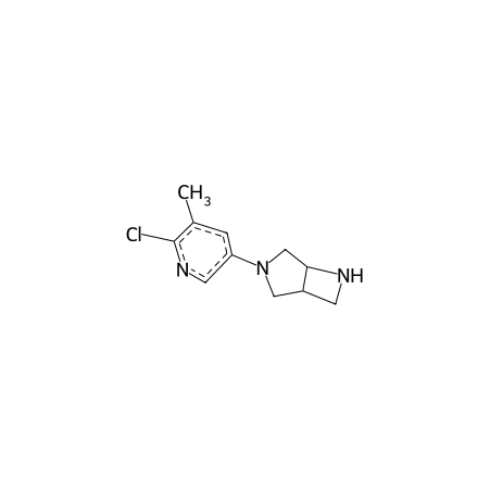 Cc1cc(N2CC3CNC3C2)cnc1Cl